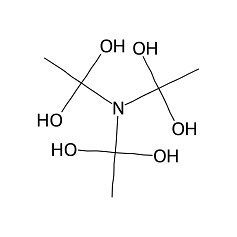 CC(O)(O)N(C(C)(O)O)C(C)(O)O